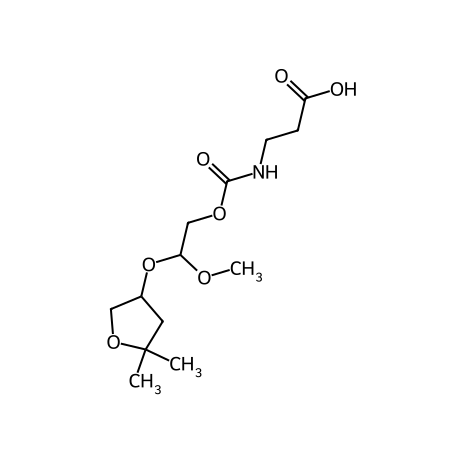 COC(COC(=O)NCCC(=O)O)OC1COC(C)(C)C1